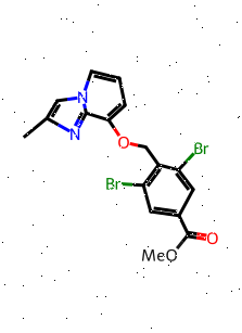 COC(=O)c1cc(Br)c(COc2cccn3cc(C)nc23)c(Br)c1